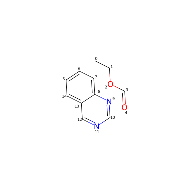 CCOC=O.c1ccc2ncncc2c1